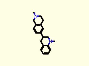 CN1CCc2cc(C3Cc4ccccc4N(C)C3)ccc2C1